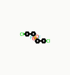 O=S(=O)(c1cccc(-c2ccc(Cl)cc2)c1F)c1cccc(-c2ccc(Cl)cc2)c1F